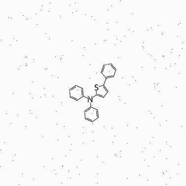 c1ccc(-c2ccc(N(c3ccccc3)c3ccccc3)s2)cc1